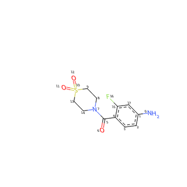 Nc1ccc(C(=O)N2CCS(=O)(=O)CC2)c(F)c1